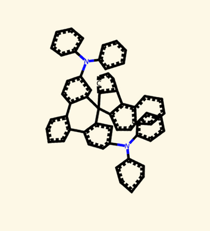 c1ccc(N(c2ccccc2)c2ccc3c(c2)C2(c4cc(N(c5ccccc5)c5ccccc5)ccc4-c4ccccc4-3)c3ccccc3-c3c2ccc2ccccc32)cc1